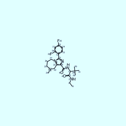 CCNC(=O)C(NC(=O)c1nc(-c2ccc(F)cc2F)n2c1CN(C)CCC2)C(C)(C)C